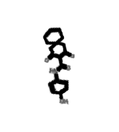 O=C1CC2(CCCCC2)CC(=O)C1C(=O)Nc1ccc(O)cc1